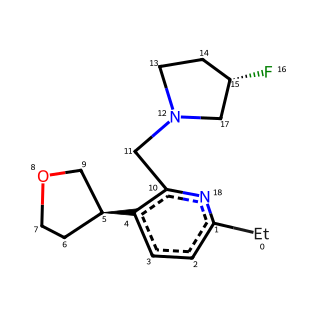 CCc1ccc([C@H]2CCOC2)c(CN2CC[C@H](F)C2)n1